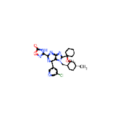 COC1(c2nc3nc(-c4noc(=O)[nH]4)nc(-c4cncc(Cl)c4)c3n2C[C@H]2CC[C@H](C)CC2)CCCCC1